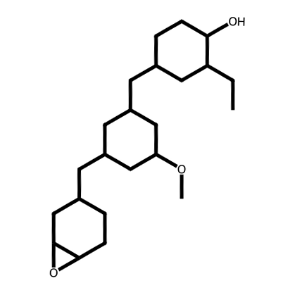 CCC1CC(CC2CC(CC3CCC4OC4C3)CC(OC)C2)CCC1O